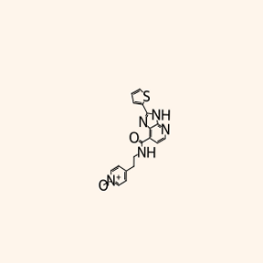 O=C(NCCc1cc[n+]([O-])cc1)c1ccnc2[nH]c(-c3cccs3)nc12